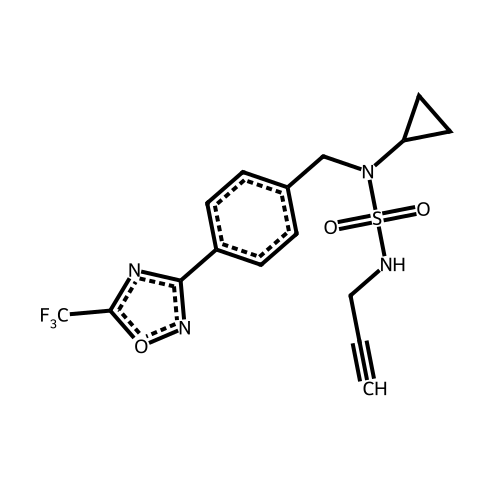 C#CCNS(=O)(=O)N(Cc1ccc(-c2noc(C(F)(F)F)n2)cc1)C1CC1